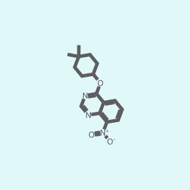 CC1(C)CCC(Oc2ncnc3c([N+](=O)[O-])cccc23)CC1